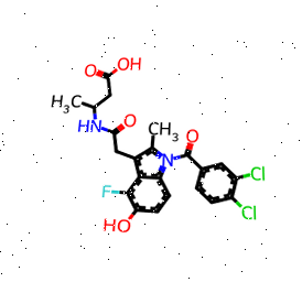 Cc1c(CC(=O)NC(C)CC(=O)O)c2c(F)c(O)ccc2n1C(=O)c1ccc(Cl)c(Cl)c1